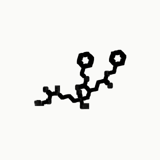 CC(C)(C)OC(=O)NCCCP(=O)(O)CC(CCC(=O)OCc1ccccc1)C(=O)OCc1ccccc1